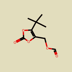 CC(C)(C)c1oc(=O)oc1CO[C]=O